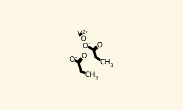 CCC(=O)[O-].CCC(=O)[O-].[O]=[V+2]